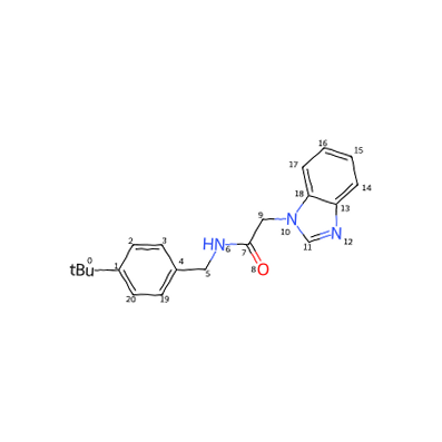 CC(C)(C)c1ccc(CNC(=O)Cn2cnc3ccccc32)cc1